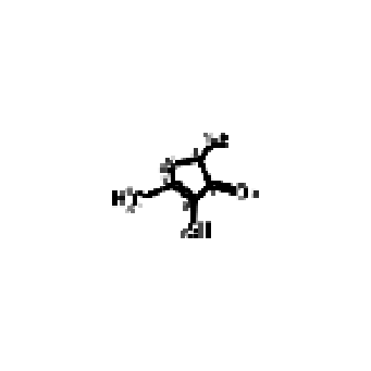 CCC1SC(C)=C(S)C1=O